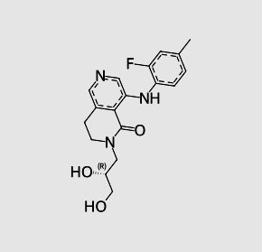 Cc1ccc(Nc2cncc3c2C(=O)N(C[C@@H](O)CO)CC3)c(F)c1